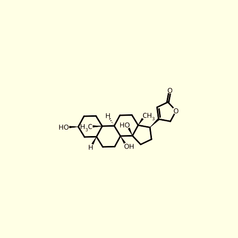 C[C@]12CC[C@H](O)C[C@H]1CC[C@]1(O)[C@@H]2CC[C@]2(C)[C@@H](C3=CC(=O)OC3)CC[C@@]21O